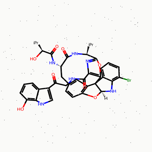 CC(C)[C@H](O)C(=O)N[C@H]1Cc2ccc3c(c2)C2(c4cccc(Br)c4N[C@H]2O3)c2oc(nc2C(=O)NCC(=O)c2c[nH]c3c(O)cccc23)[C@H](C(C)C)NC1=O